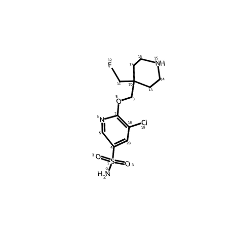 NS(=O)(=O)c1cnc(OCC2(CF)CCNCC2)c(Cl)c1